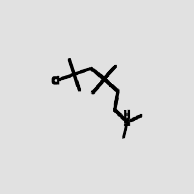 C[SiH](C)CCC(C)(C)CC(C)(C)Cl